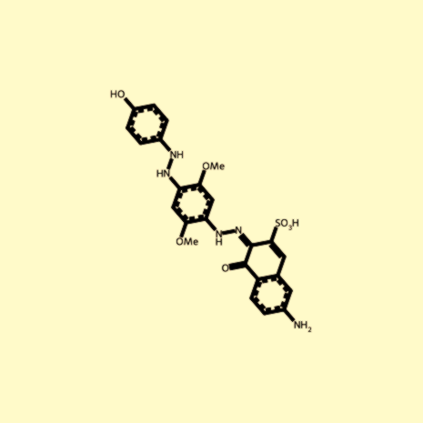 COc1cc(NNc2ccc(O)cc2)c(OC)cc1N/N=C1\C(=O)c2ccc(N)cc2C=C1S(=O)(=O)O